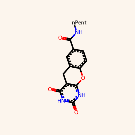 CCCCCNC(=O)c1ccc2c(c1)Cc1c([nH]c(=O)[nH]c1=O)O2